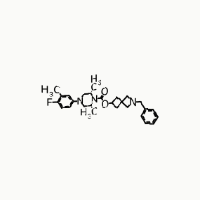 Cc1cc(N2C[C@@H](C)N(C(=O)OC3CC4(C3)CN(Cc3ccccc3)C4)[C@@H](C)C2)ccc1F